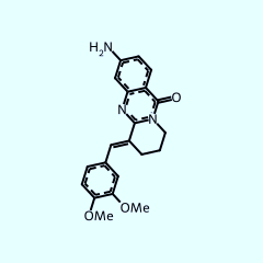 COc1ccc(/C=C2\CCCn3c2nc2cc(N)ccc2c3=O)cc1OC